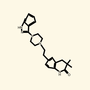 CC1(C)Cc2cc(CCN3CCN(c4n[nH]c5ccccc45)CC3)ccc2NC1=O